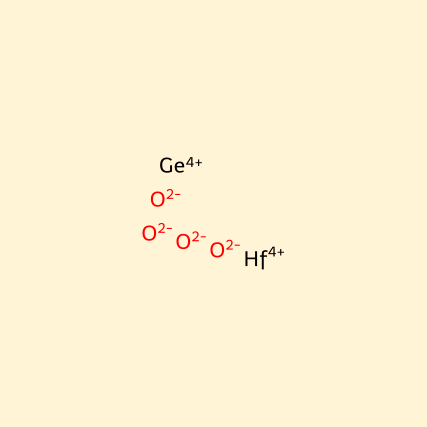 [Ge+4].[Hf+4].[O-2].[O-2].[O-2].[O-2]